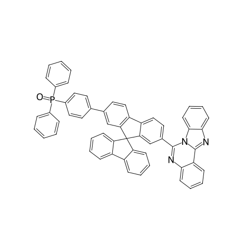 O=P(c1ccccc1)(c1ccccc1)c1ccc(-c2ccc3c(c2)C2(c4ccccc4-c4ccccc42)c2cc(-c4nc5ccccc5c5nc6ccccc6n45)ccc2-3)cc1